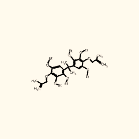 C=C(C)COc1c(OCC)cc(C(C)(C)c2cc(OCC)c(OCC(=C)C)c(OCC)c2OCC)c(OCC)c1OCC